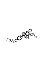 CCOC(=O)C1CCN(c2nc3cc(Cl)c(C)cc3[nH]2)CC1